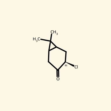 CC1(C)C2CC(=O)[C@H](Cl)CC21